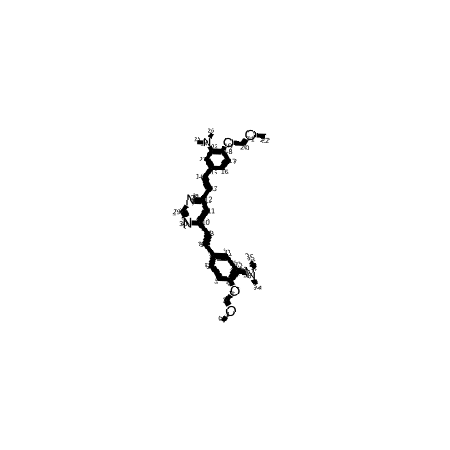 COCOc1ccc(/C=C/c2cc(/C=C/c3ccc(OCOC)c(N(C)C)c3)ncn2)cc1N(C)C